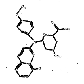 COC(=O)C1CC(OC)CC(N(c2ccc(OC(F)(F)F)cc2)c2ccc3cccc(Cl)c3n2)O1